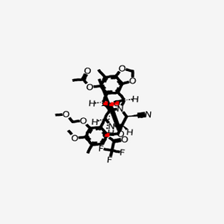 COCOc1c(OC)c(C)cc2c1[C@@H]1N[C@@H](C2)[C@H](C#N)N2C1[C@@H]1SC[C@H](OC(=O)C(F)(F)F)C(=O)OC[C@H]2c2c3c(c(C)c(OC(C)=O)c21)OCO3